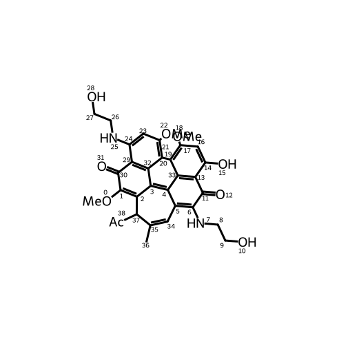 COc1c2c3c4c(c(NCCO)c(=O)c5c(O)cc(OC)c(c6c(OC)cc(NCCO)c(c1=O)c63)c54)C=C(C)C2C(C)=O